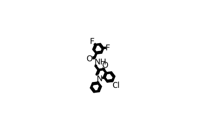 O=C(NCc1cn(-c2ccccc2)c2cc(Cl)ccc2c1=O)c1cc(F)cc(F)c1